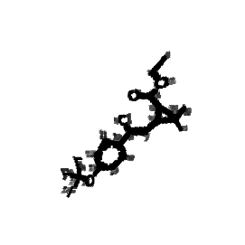 CCOC(=O)C1C(C=C(Cl)c2ccc(OC(F)(F)F)cc2)C1(C)C